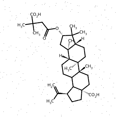 C=C(C)[C@@H]1CC[C@]2(C(=O)O)CC[C@]3(C)C(CC[C@@H]4[C@@]5(C)C[C@H](OC(=O)CC(C)(C)C(=O)O)C(C)(C)[C@@H]5CC[C@]43C)C12